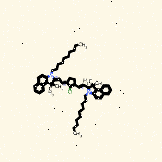 CCCCCCCCCCN1/C(=C/C=C2\CCC(/C=C/C3=[N+](CCCCCCCCCC)c4ccc5ccccc5c4C3(C)C)=C2Cl)C(C)(C)c2c1ccc1ccccc21